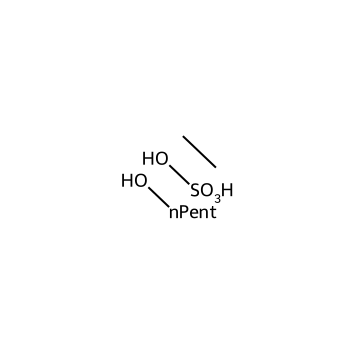 CC.CCCCCO.O=S(=O)(O)O